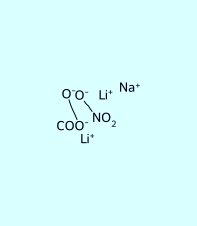 O=C([O-])[O-].O=[N+]([O-])[O-].[Li+].[Li+].[Na+]